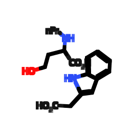 CCCNC(CCO)C(=O)O.O=C(O)Cc1cc2ccccc2[nH]1